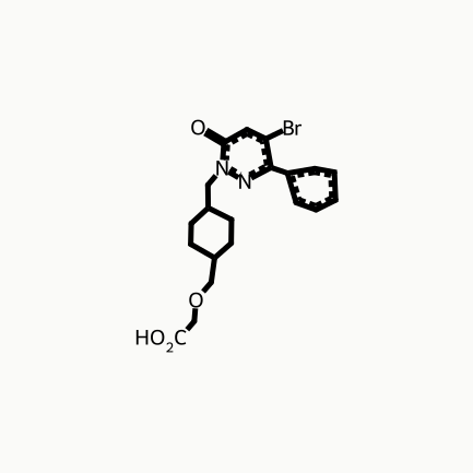 O=C(O)COCC1CCC(Cn2nc(-c3ccccc3)c(Br)cc2=O)CC1